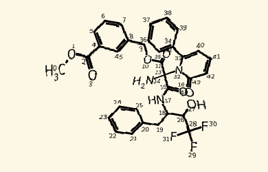 COC(=O)c1cccc(COC(=O)C(N)(C(=O)NC(Cc2ccccc2)C(O)C(F)(F)F)n2c(-c3ccccc3)cccc2=O)c1